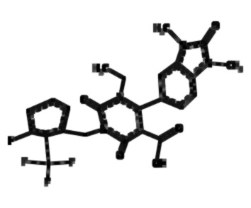 CCn1c(-c2ccc3c(c2)n(C)c(=O)n3C)c(C(=O)O)c(=O)n(Cc2cccc(F)c2C(F)(F)F)c1=O